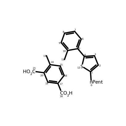 CCCCCc1ccc(-c2ccccc2C)s1.Cc1ccc(C(=O)O)cc1C(=O)O